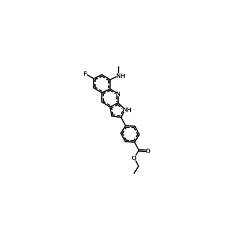 CCOC(=O)c1ccc(-c2cc3cc4cc(F)cc(NC)c4nc3[nH]2)cc1